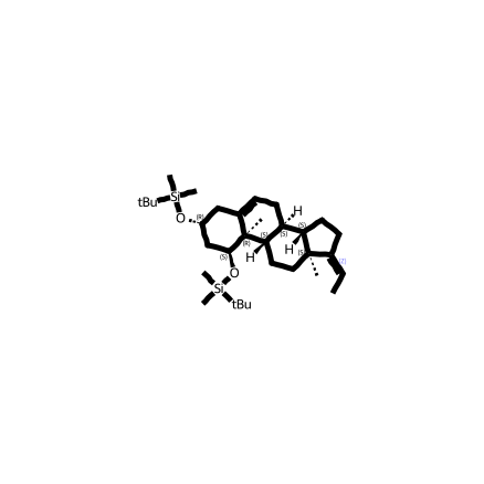 C/C=C1/CC[C@H]2[C@@H]3CC=C4C[C@@H](O[Si](C)(C)C(C)(C)C)C[C@H](O[Si](C)(C)C(C)(C)C)[C@]4(C)[C@H]3CC[C@]12C